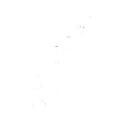 CO[C@@]1(/C=C\CO)CC[C@H]2[C@@H]3CCC4=C(c5ccccc5/C=N\O)C(=O)CCC4=C3CC[C@@]21C